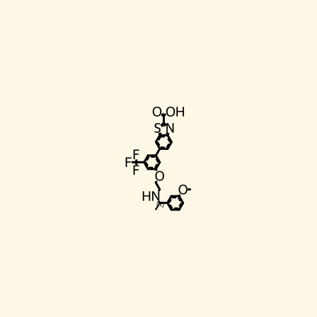 COc1cccc([C@@H](C)NCCOc2cc(-c3ccc4nc(C(=O)O)sc4c3)cc(C(F)(F)F)c2)c1